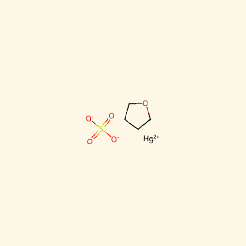 C1CCOC1.O=S(=O)([O-])[O-].[Hg+2]